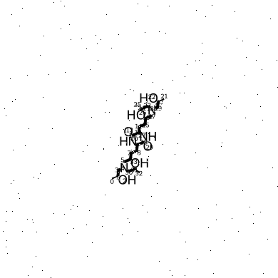 C[C@H](O)CN(CCCCC1NC(=O)C(CCCCN(C[C@H](C)O)C[C@@H](C)O)NC1=O)C[C@H](C)O